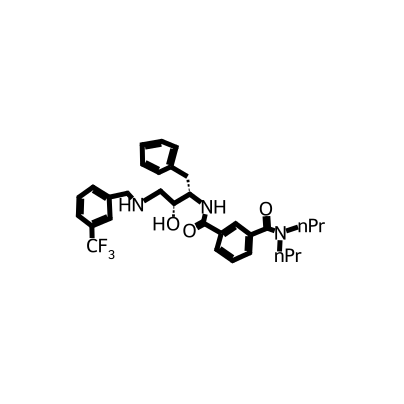 CCCN(CCC)C(=O)c1cccc(C(=O)N[C@@H](Cc2ccccc2)[C@H](O)CNCc2cccc(C(F)(F)F)c2)c1